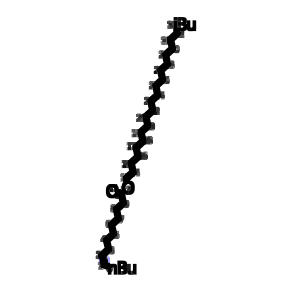 CCCC/C=C\CCCCCCCC(=O)OCCCCCCCCCCCCCCCCCCCCC(C)CC